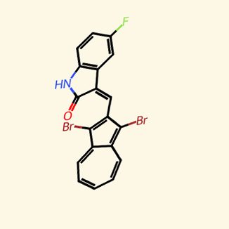 O=C1Nc2ccc(F)cc2/C1=C/c1c(Br)c2cccccc-2c1Br